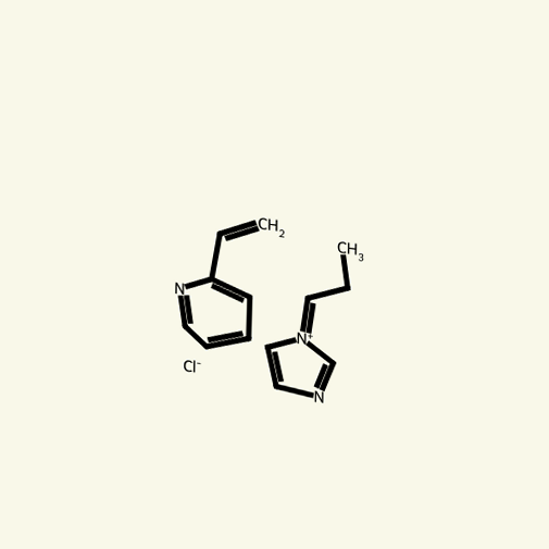 C=Cc1ccccn1.CCC=[N+]1C=CN=C1.[Cl-]